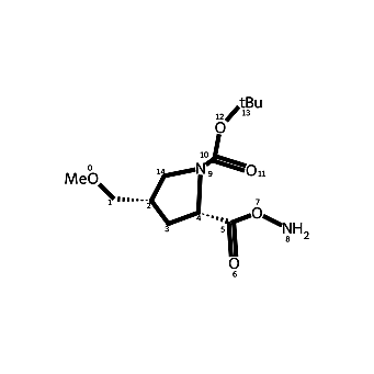 COC[C@H]1C[C@@H](C(=O)ON)N(C(=O)OC(C)(C)C)C1